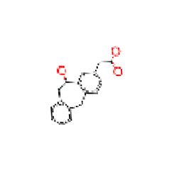 COC(=O)Cc1ccc2c(c1)C(=O)Cc1ccccc1C2